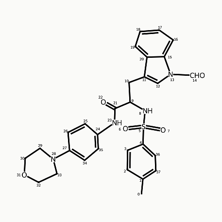 Cc1ccc(S(=O)(=O)NC(Cc2cn(C=O)c3ccccc23)C(=O)Nc2ccc(N3CCOCC3)cc2)cc1